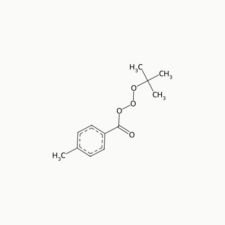 Cc1ccc(C(=O)OOOC(C)(C)C)cc1